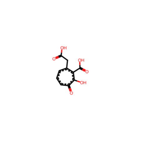 O=C(O)Cc1cccc(=O)c(O)c1C(=O)O